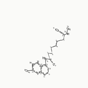 O=C(CCCCCCC(=O)Nc1ccnc2cc(Cl)ccc12)NO